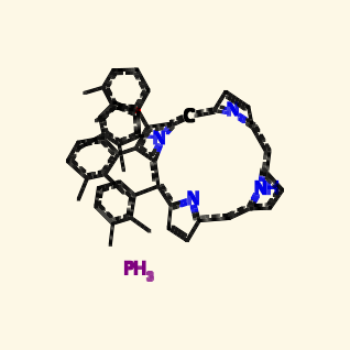 Cc1cccc(-c2c(-c3cccc(C)c3C)c3c(-c4cccc(C)c4C)c4nc(cc5ccc(cc6nc(cc2n3-c2cccc(C)c2C)C=C6)[nH]5)C=C4)c1C.P